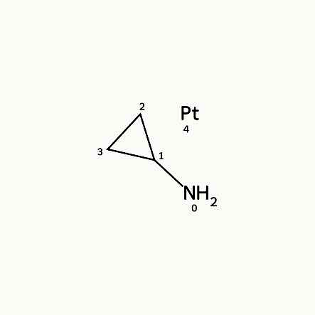 NC1CC1.[Pt]